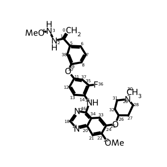 C=C(NNOC)c1cccc(Oc2ccc(Nc3ncnc4cc(OC)c(OC5CCN(C)CC5)cc34)c(F)c2)c1